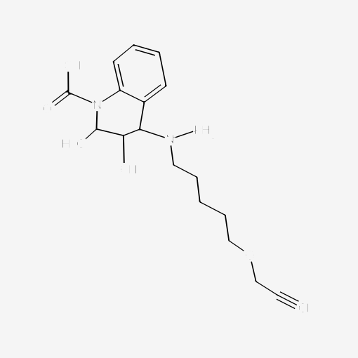 C#CCOCCCCCN(P)C1c2ccccc2N(C(C)=O)C(C)C1C